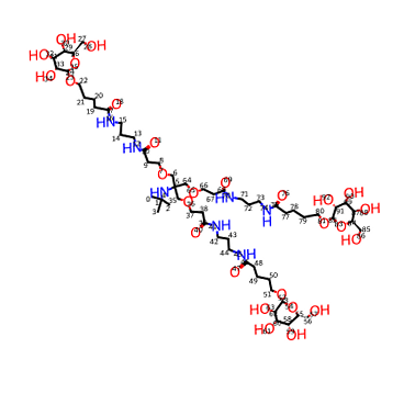 CC(C)(C)NC(COCCC(=O)NCCCNC(=O)CCCCO[C@@H]1O[C@H](CO)[C@H](O)[C@H](O)[C@H]1O)(COCCC(=O)NCCCNC(=O)CCCCO[C@@H]1O[C@H](CO)[C@H](O)[C@H](O)[C@H]1O)COCCC(=O)NCCCNC(=O)CCCCO[C@@H]1O[C@H](CO)[C@H](O)[C@H](O)[C@H]1O